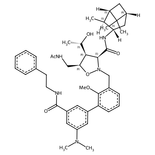 COc1c(CN2O[C@@H](CNC(C)=O)[C@@H]([C@H](C)O)[C@H]2C(=O)N[C@H]2C[C@H]3C[C@@H]([C@@H]2C)C3(C)C)cccc1-c1cc(C(=O)NCCc2ccccc2)cc(N(C)C)c1